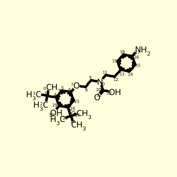 CC(C)(C)c1cc(OCCN(CCc2ccc(N)cc2)C(=O)O)cc(C(C)(C)C)c1O